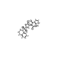 O=c1[nH]c2sccc2c(=O)n1-c1cc(S(=O)(=O)C2CCCc3ccccc32)sc1Cl